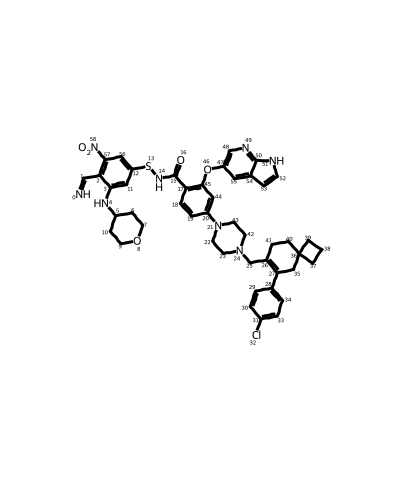 N=Cc1c(NC2CCOCC2)cc(SNC(=O)c2ccc(N3CCN(CC4=C(c5ccc(Cl)cc5)CC5(CCC5)CC4)CC3)cc2Oc2cnc3[nH]ccc3c2)cc1[N+](=O)[O-]